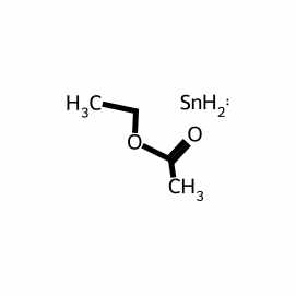 CCOC(C)=O.[SnH2]